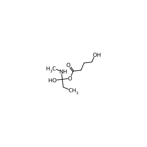 CCC(O)(NC)OC(=O)CCCO